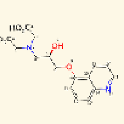 O=C(O)CN(CC(=O)O)C[C@@H](O)COc1cccc2ncccc12